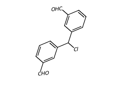 O=Cc1cccc(C(Cl)c2cccc(C=O)c2)c1